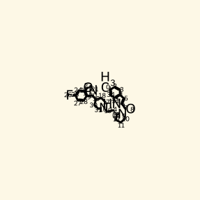 Cc1ccc2cc(C(=O)N3CCC[C@H]3CCN3CCC(c4noc5cc(F)ccc45)CC3)[nH]c2c1